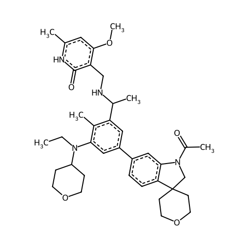 CCN(c1cc(-c2ccc3c(c2)N(C(C)=O)CC32CCOCC2)cc(C(C)NCc2c(OC)cc(C)[nH]c2=O)c1C)C1CCOCC1